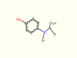 CCC(C(=O)O)N(C(C)=O)c1ccc(O)cc1